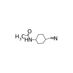 CC(=O)NC1CCC(C#N)CC1